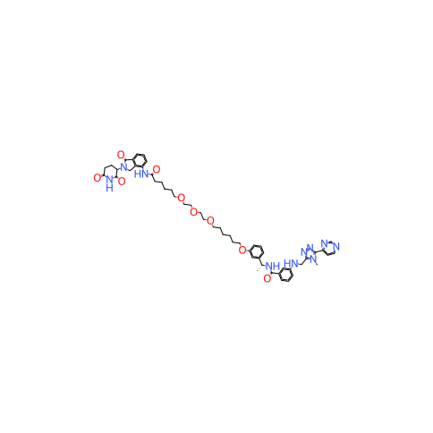 C[C@@H](NC(=O)c1cccc(NCc2nnc(-c3ccncn3)n2C)c1)c1cccc(OCCCCCCOCCOCCOCCCCCC(=O)Nc2cccc3c2CN(C2CCC(=O)NC2=O)C3=O)c1